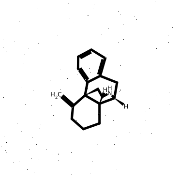 C=C1CCC[C@H]2[C@H]3Cc4ccccc4[C@@]12CCN3